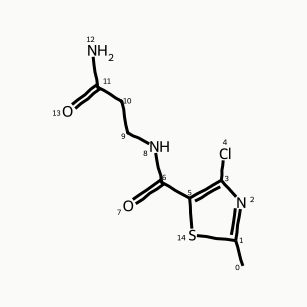 Cc1nc(Cl)c(C(=O)NCCC(N)=O)s1